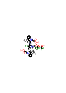 CC1(C)C(=C=CC2C[N+](C)(C)CC(/C=C/C3=[N+](CCC(=O)O)c4ccccc4C3(C)C)=C2Cl)N(CCC(=O)O)c2ccccc21.O=C([O-])C(F)(F)F.O=C([O-])C(F)(F)F